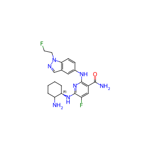 NC(=O)c1cc(F)c(N[C@@H]2CCCCC2N)nc1Nc1ccc2c(cnn2CCF)c1